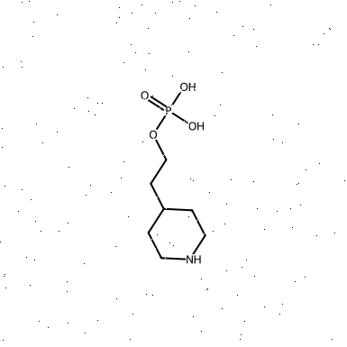 O=P(O)(O)OCCC1CCNCC1